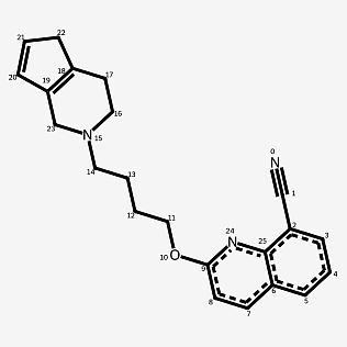 N#Cc1cccc2ccc(OCCCCN3CCC4=C(C=CC4)C3)nc12